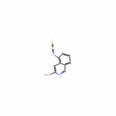 CCCCCCCCc1cc2c(N=C=S)cccc2cn1